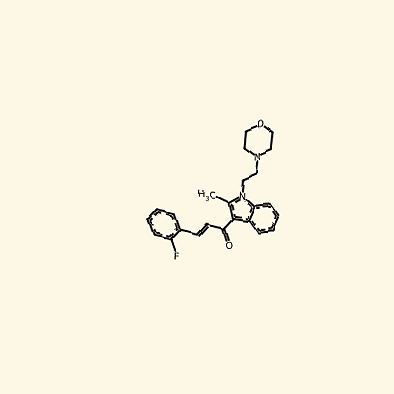 Cc1c(C(=O)C=Cc2ccccc2F)c2ccccc2n1CCN1CCOCC1